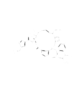 CCn1cc(C(=O)NS2(=O)=NC(=O)c3ccc4c(c3)N(CC3CCC3C(OC)/C=C/CC(C)C2C)CC2(CO4)CC(C)C(C)c3cc(Cl)ccc32)cn1